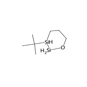 CC(C)(C)[SiH]1CCCO[SiH2]1